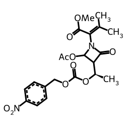 COC(=O)C(=C(C)C)N1C(=O)C([C@@H](C)OC(=O)OCc2ccc([N+](=O)[O-])cc2)C1OC(C)=O